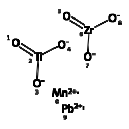 [Mn+2].[O]=[Ti]([O-])[O-].[O]=[Zr]([O-])[O-].[Pb+2]